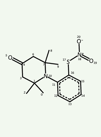 CC1(C)CC(=O)CC(C)(C)N1c1ccccc1S[N+](=O)[O-]